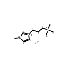 Cn1cc[n+](CCC[Si](C)(C)C)c1.[I-]